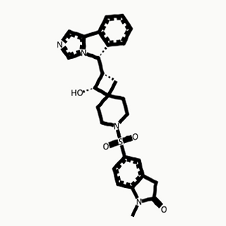 CN1C(=O)Cc2cc(S(=O)(=O)N3CCC4(CC3)C[C@@H]([C@H]3c5ccccc5-c5cncn53)[C@H]4O)ccc21